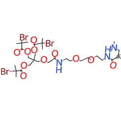 C[C@@H](CN(C)C)C(=O)NCCOCCOCCNC(=O)COCC(COC(=O)C(C)(C)Br)(COC(=O)C(C)(C)Br)COC(=O)C(C)(C)Br